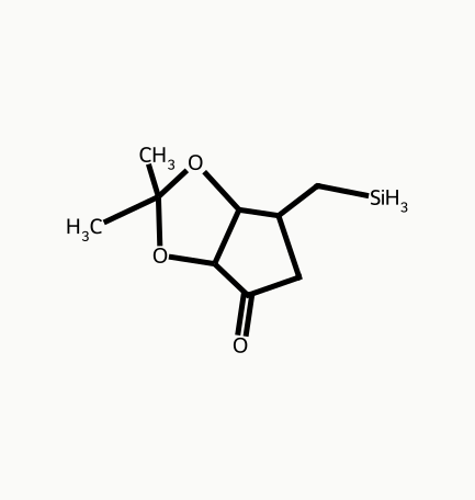 CC1(C)OC2C(=O)CC(C[SiH3])C2O1